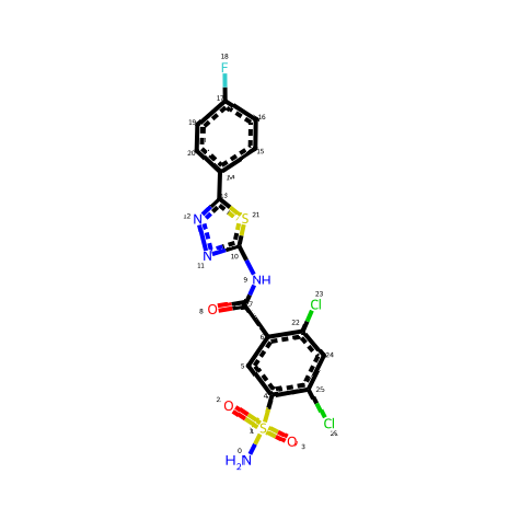 NS(=O)(=O)c1cc(C(=O)Nc2nnc(-c3ccc(F)cc3)s2)c(Cl)cc1Cl